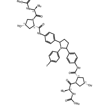 COC(=O)N[C@H](C(=O)N1C[C@@H](O)C[C@H]1C(=O)Nc1ccc(C2CCC(c3ccc(NC(=O)[C@@H]4C[C@H](O)CN4C(=O)[C@@H](NC(=O)OC)C(C)(C)C)cc3)N2c2ccc(F)cc2)cc1)C(C)(C)C